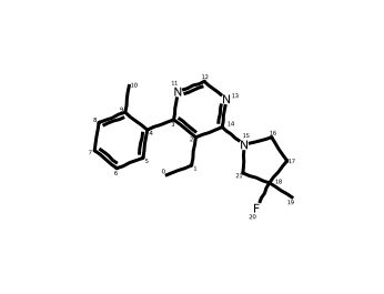 CCc1c(-c2ccccc2C)ncnc1N1CCC(C)(F)C1